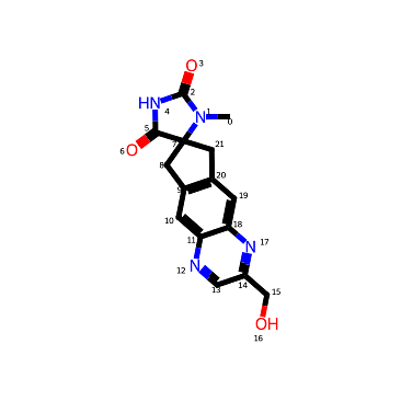 CN1C(=O)NC(=O)C12Cc1cc3ncc(CO)nc3cc1C2